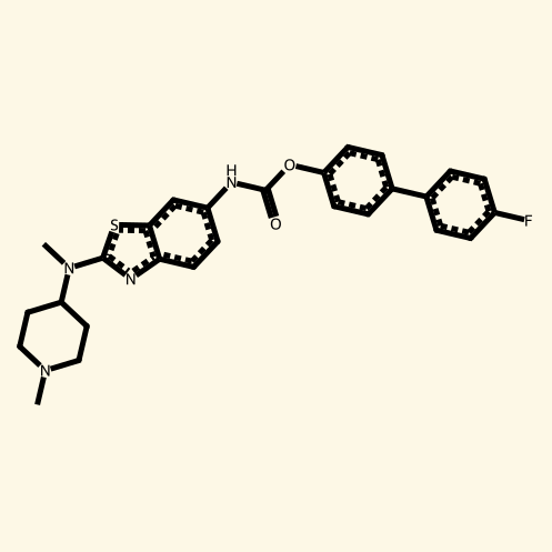 CN1CCC(N(C)c2nc3ccc(NC(=O)Oc4ccc(-c5ccc(F)cc5)cc4)cc3s2)CC1